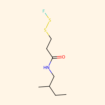 CCC(C)CNC(=O)CCSSF